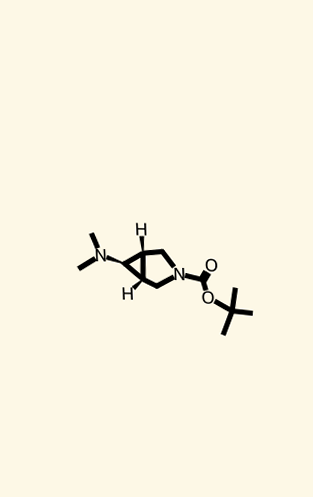 CN(C)[C@H]1[C@@H]2CN(C(=O)OC(C)(C)C)C[C@@H]21